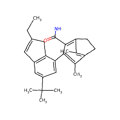 CCC1=Cc2cc(C(C)(C)C)cc(-c3c(C)c4c(C)c(c3C([NH])=O)CC4)c2C1